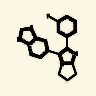 Fc1cccc(-c2nc3n(c2-c2ccc4ncsc4c2)CCC3)c1